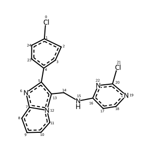 Clc1ccc(-c2nc3ccccn3c2CNc2ccnc(Cl)n2)cc1